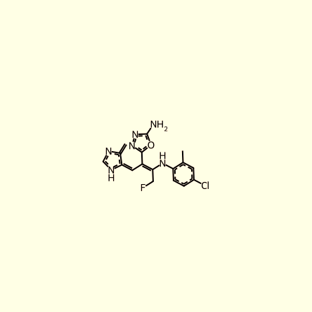 C=c1nc[nH]/c1=C/C(=C(\CF)Nc1ccc(Cl)cc1C)c1nnc(N)o1